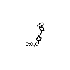 CCOC(=O)Cc1ccc(OCc2ccc3c(c2)OCO3)cc1